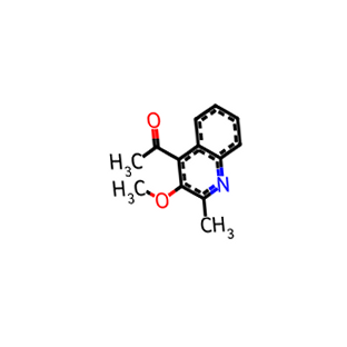 COc1c(C)nc2ccccc2c1C(C)=O